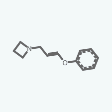 C(=COc1ccccc1)CN1CCC1